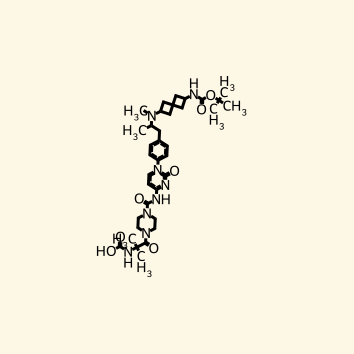 CC(Cc1ccc(-n2ccc(NC(=O)N3CCN(C(=O)C(C)(C)NC(=O)O)CC3)nc2=O)cc1)N(C)C1CC2(CC(NC(=O)OC(C)(C)C)C2)C1